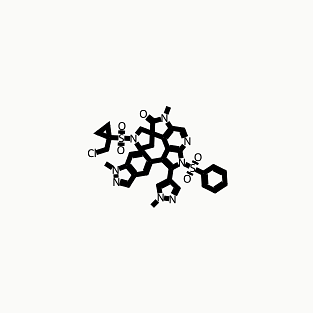 CN1C(=O)C2(CCN(S(=O)(=O)C3(CCl)CC3)C2)c2c1cnc1c2c(-c2ccc3c(cnn3C)c2)c(-c2cnn(C)c2)n1S(=O)(=O)c1ccccc1